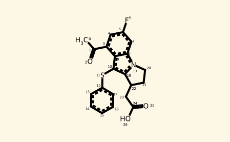 CC(=O)c1cc(F)cc2c1c(Sc1ccccc1)c1n2CCC1CC(=O)O